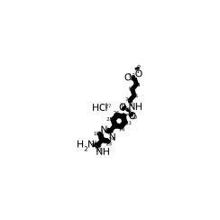 COC(=O)CCCCNS(=O)(=O)c1ccc(-c2ncc(C(=N)N)cn2)cc1.Cl